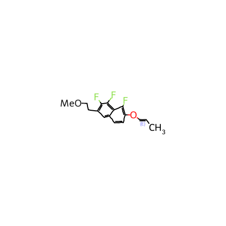 C/C=C/Oc1ccc2cc(CCOC)c(F)c(F)c2c1F